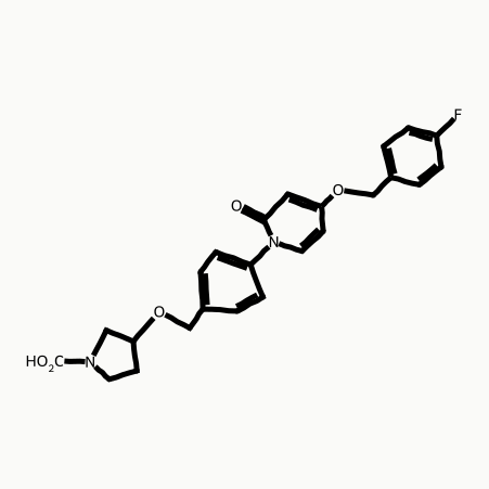 O=C(O)N1CCC(OCc2ccc(-n3ccc(OCc4ccc(F)cc4)cc3=O)cc2)C1